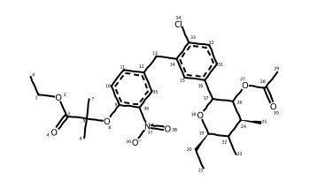 CCOC(=O)C(C)(C)Oc1ccc(Cc2cc(C3O[C@H](CC)C(C)[C@H](C)C3OC(C)=O)ccc2Cl)cc1[N+](=O)[O-]